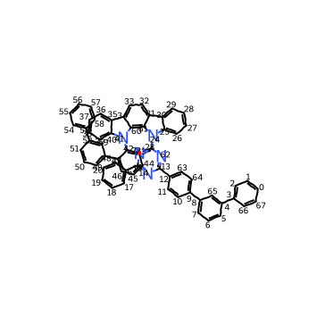 c1ccc(-c2cccc(-c3ccc(-c4nc(-c5ccccc5)nc(-n5c6ccccc6c6ccc7c8ccccc8n(-c8ccccc8-c8cccc(-c9ccccc9)c8)c7c65)n4)cc3)c2)cc1